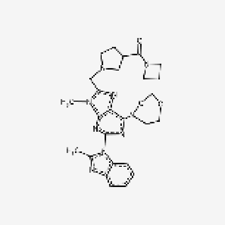 Cc1nc2ccccc2n1-c1nc(N2CCOCC2)c2nc(CN3CCC(C(=O)N4CCC4)C3)n(C)c2n1